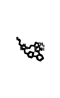 CCCCCn1nc(CC=S)nc1Cc1ccc(-c2ccccc2-c2nnn[nH]2)cc1